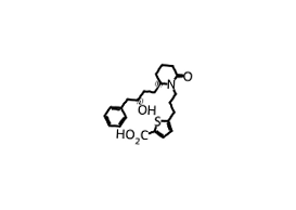 O=C(O)c1ccc(CCCN2C(=O)CCC[C@@H]2CC[C@H](O)Cc2ccccc2)s1